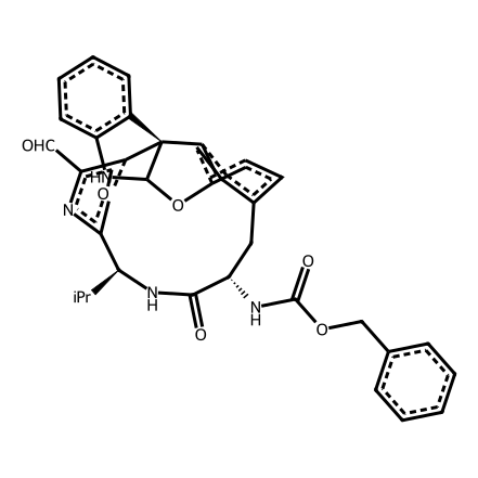 CC(C)[C@@H]1NC(=O)[C@@H](NC(=O)OCc2ccccc2)Cc2ccc3c(c2)[C@@]2(c4ccccc4NC2O3)c2oc1nc2C=O